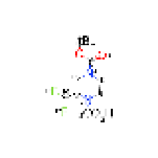 CC(C)(C)OC(=O)N1CCN(C(=O)O)C(C(F)F)C1